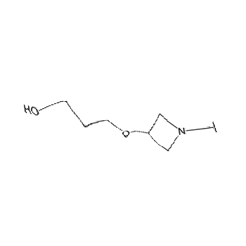 OCCCOC1CN(I)C1